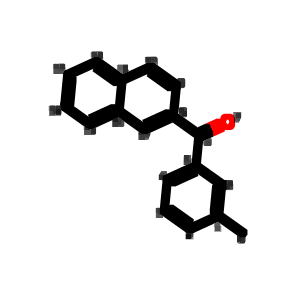 Cc1cccc(C(=O)c2ccc3ccccc3c2)c1